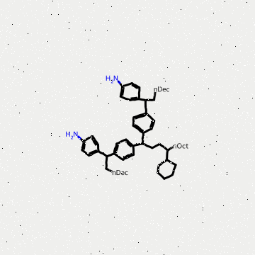 CCCCCCCCCCCC(c1ccc(N)cc1)c1ccc(C(CCC(CCCCCCCC)C2CCCCC2)c2ccc(C(CCCCCCCCCCC)c3ccc(N)cc3)cc2)cc1